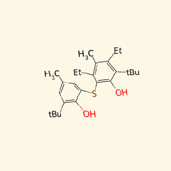 CCc1c(C)c(CC)c(C(C)(C)C)c(O)c1Sc1cc(C)cc(C(C)(C)C)c1O